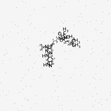 C[C@@H](C(=O)NCCCC#Cc1cnc(Nc2ccc3cn[nH]c3c2)nc1NC1CC1)N(C)C(=O)/C=C/CN(C)C